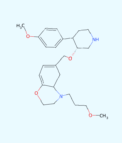 COCCCN1CCOC2=CC=C(CO[C@H]3CNCCC3c3ccc(OC)cc3)CC21